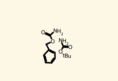 CC(C)(C)OC(N)=O.NC(=O)OCc1ccccc1